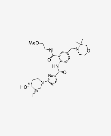 COCCNC(=O)c1cc(CN2CCOCC2(C)C)ccc1NC(=O)c1csc(N2CC[C@@H](O)[C@@H](F)C2)n1